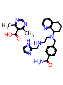 Cc1ncnc(C)c1C(=O)O.NC(=O)c1ccc(CN(CCNCc2ncc[nH]2)C2CCCc3cccnc32)cc1